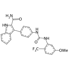 COc1ccc(C(F)(F)F)c(NC(=O)Nc2ccc(-c3c(C(N)=O)[nH]c4ccccc34)cc2)c1